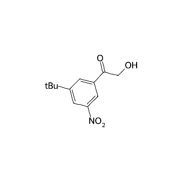 CC(C)(C)c1cc(C(=O)CO)cc([N+](=O)[O-])c1